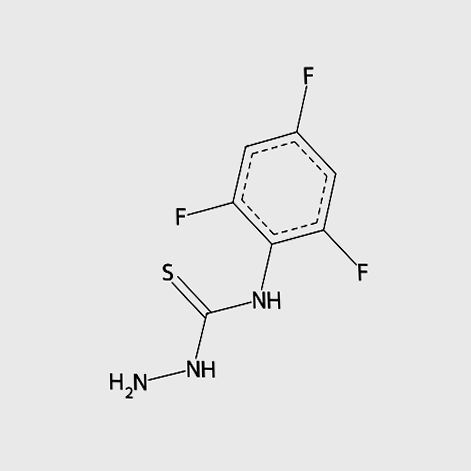 NNC(=S)Nc1c(F)cc(F)cc1F